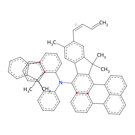 C=C/C=C\c1cc2c(cc1C)-c1c(N(c3ccccc3-c3ccccc3)c3cccc4c3C(C)(C)c3ccccc3-4)ccc(-c3cccc4cccc(-c5ccccc5)c34)c1C2(C)C